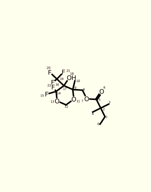 CCC(C)(C)C(=O)OCC1(C)OCOC(F)(F)C1(O)C(F)(F)F